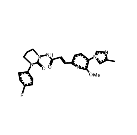 COc1nc(C=CC(=O)NN2CCCN(c3ccc(F)cc3)C2=O)ccc1-n1cnc(C)c1